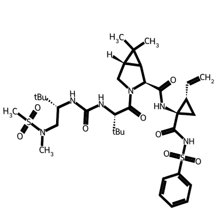 C=C[C@@H]1C[C@]1(NC(=O)[C@@H]1C2[C@H](CN1C(=O)[C@@H](NC(=O)N[C@H](CN(C)S(C)(=O)=O)C(C)(C)C)C(C)(C)C)C2(C)C)C(=O)NS(=O)(=O)c1ccccc1